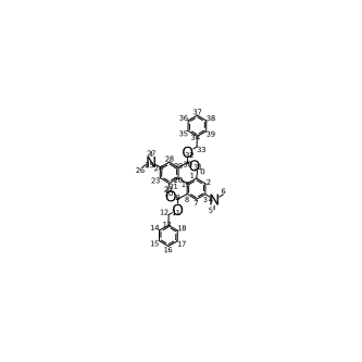 Cc1cc(N(C)C)cc(C(=O)OCc2ccccc2)c1-c1c(C)cc(N(C)C)cc1C(=O)OCc1ccccc1